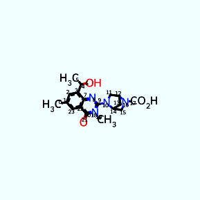 Cc1cc(C(C)O)c2nc(N3CC4CC3CN4C(=O)O)n(C)c(=O)c2c1